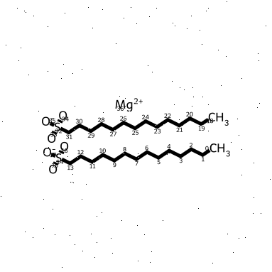 CCCCCCCCCCCCCCS(=O)(=O)[O-].CCCCCCCCCCCCCCS(=O)(=O)[O-].[Mg+2]